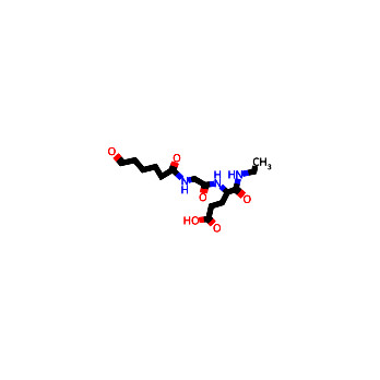 CCNC(=O)C(CCC(=O)O)NC(=O)CNC(=O)CCCCC=O